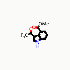 COC(=O)c1cccc2[nH]cc(C(=O)C(F)(F)F)c12